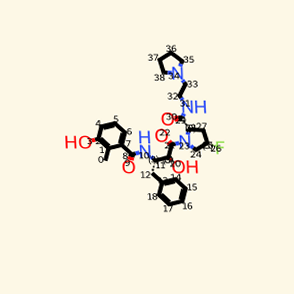 Cc1c(O)cccc1C(=O)N[C@@H](Cc1ccccc1)[C@H](O)C(=O)N1C[C@@H](F)C[C@H]1C(=O)NCCN1CCCC1